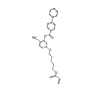 C=CC(=O)OCCCCCOc1ccc(C#N)c(OC(=O)c2ccc(-c3ccccc3)cc2)c1